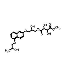 COC(=O)C(O)C(O)C(=O)OCC(O)COc1ccc2c(OCC(C)O)cccc2c1